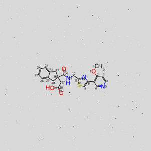 COc1ccncc1-c1csc(CNC(=O)C2(CC(=O)O)Cc3ccccc3C2)n1